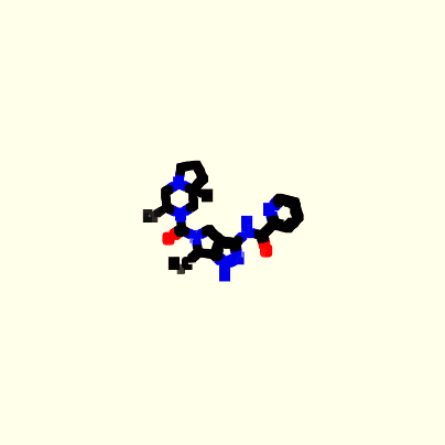 CC[C@H]1CN2CCC[C@@H]2CN1C(=O)N1Cc2c(NC(=O)c3ccccn3)n[nH]c2C1C